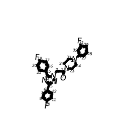 O=C(Cn1nc(-c2ccc(F)cc2)nc1-c1ccc(F)cc1)N1CCN(c2cccc(F)c2)CC1